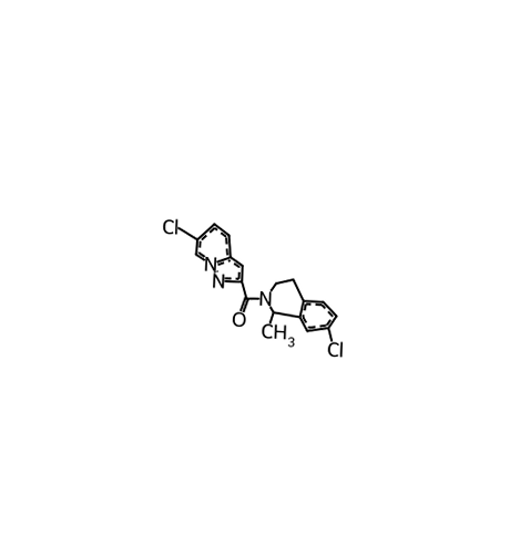 CC1c2cc(Cl)ccc2CCN1C(=O)c1cc2ccc(Cl)cn2n1